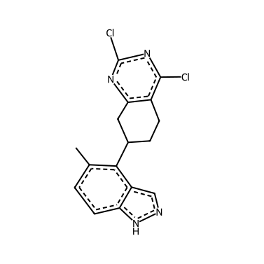 Cc1ccc2[nH]ncc2c1C1CCc2c(Cl)nc(Cl)nc2C1